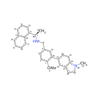 COc1ccc(CN[C@H](C)c2cccc3ccccc23)cc1-c1ccc2c(ccn2C)c1